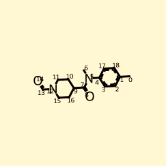 Cc1ccc(N(C)C(=O)C2CCN(C=O)CC2)cc1